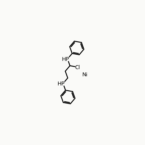 ClC(CCPc1ccccc1)Pc1ccccc1.[Ni]